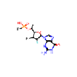 CC(C)C1C(F)C(n2cnc3c(=O)[nH]c(N)nc32)OC1C(C)OP(=O)(O)C(C)C